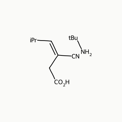 CC(C)(C)N.CC(C)C=C(C#N)CC(=O)O